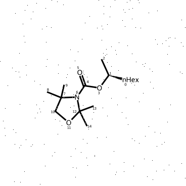 CCCCCC[C@H](C)OC(=O)N1C(C)(C)COC1(C)C